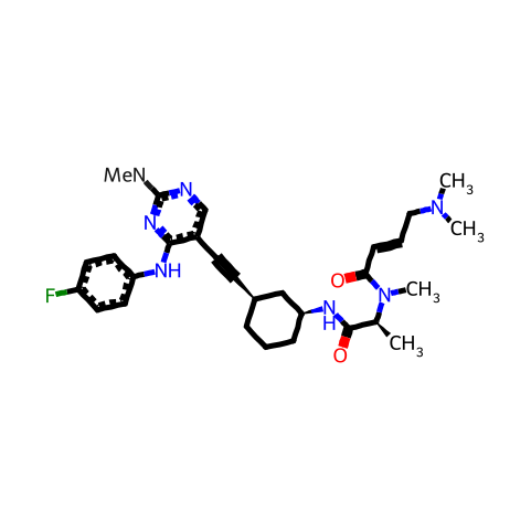 CNc1ncc(C#C[C@@H]2CCC[C@H](NC(=O)[C@H](C)N(C)C(=O)/C=C/CN(C)C)C2)c(Nc2ccc(F)cc2)n1